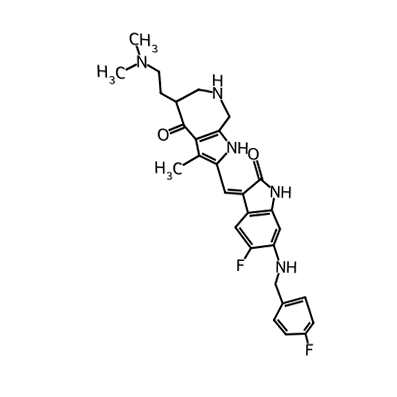 Cc1c(C=C2C(=O)Nc3cc(NCc4ccc(F)cc4)c(F)cc32)[nH]c2c1C(=O)C(CCN(C)C)CNC2